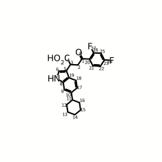 O=C(CC(C(=O)O)c1c[nH]c2cc(C3CCCCC3)ccc12)c1ccc(F)cc1F